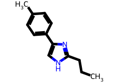 CCCc1nc(-c2ccc(C)cc2)c[nH]1